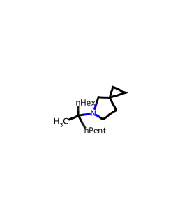 CCCCCCC(C)(CCCCC)N1CCC2(CC2)C1